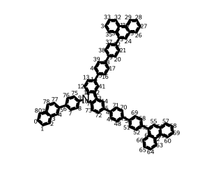 c1ccc2cc(-c3ccc(-n4c5ccc(-c6ccc(-c7ccc(-c8cc9ccccc9c9ccccc89)cc7)cc6)cc5c5cc(-c6ccc(-c7ccc(-c8cc9ccccc9c9ccccc89)cc7)cc6)ccc54)cc3)ccc2c1